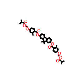 C=C(C)C(=O)OCOc1ccc(C(=O)Oc2ccc3c(c2)C(C)(C)c2cc(OC(=O)c4ccc(OCOC(=O)C(=C)C)cc4C)ccc2-3)c(C)c1